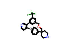 Cc1ccncc1-c1cc(COCC2(c3ccccc3)CCNCC2)cc(C(F)(F)F)c1